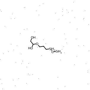 OCC(O)OCCC[SiH2]O[SiH3]